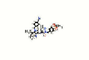 C=NC1=C(/C=C(\C)C(=O)NCc2ccc(S(C)(=O)=O)cc2)CN(Cc2ccc(C#N)cc2)[C@@H]1C(C)C